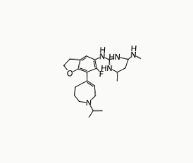 CNC1CC(C)NC(Nc2cc3c(c(C4=CCN(C(C)C)CCC4)c2F)OCC3)N1